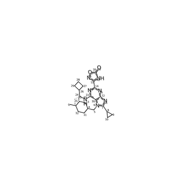 CC1CCC(Cn2c(C3CC3)nc3nc(-c4noc(=O)[nH]4)nc(N[C@H](C)C4CCC4)c32)CC1